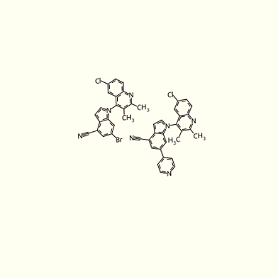 Cc1nc2ccc(Cl)cc2c(-n2ccc3c(C#N)cc(-c4ccncc4)cc32)c1C.Cc1nc2ccc(Cl)cc2c(-n2ccc3c(C#N)cc(Br)cc32)c1C